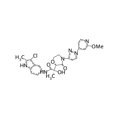 COc1cc(-n2ccc(N3CCO[C@H]([C@@](C)(O)C(=O)Nc4ccc5[nH]c(C)c(Cl)c5c4)C3=O)n2)ccn1